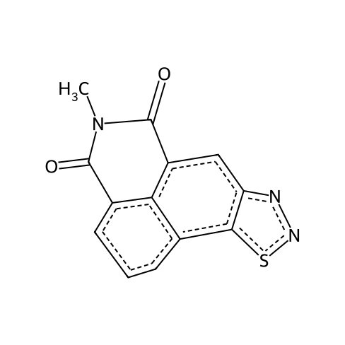 CN1C(=O)c2cccc3c2c(cc2nnsc23)C1=O